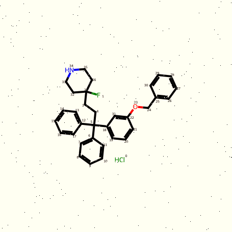 Cl.FC1(CCC(c2ccccc2)(c2ccccc2)c2cccc(OCc3ccccc3)c2)CCNCC1